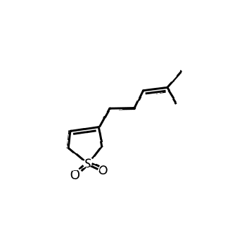 CC(C)=CCCC1=CCS(=O)(=O)C1